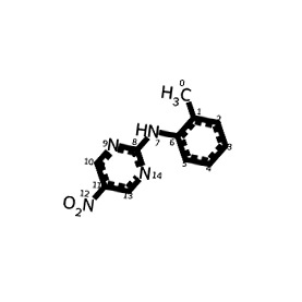 Cc1ccccc1Nc1ncc([N+](=O)[O-])cn1